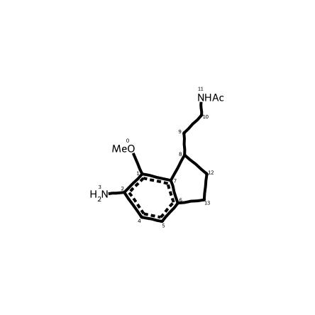 COc1c(N)ccc2c1C(CCNC(C)=O)CC2